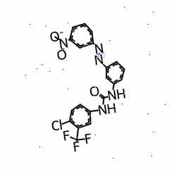 O=C(Nc1cccc(/N=N/c2cccc([N+](=O)[O-])c2)c1)Nc1ccc(Cl)c(C(F)(F)F)c1